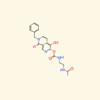 CC(=O)NCCNC(=O)Oc1ncc2c(=O)n(Cc3ccccc3)ccc2c1O